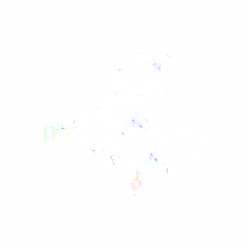 CCC(=O)N1CCCCC1n1c2c(c3cc(Cl)ccc31)CCN(C)C2